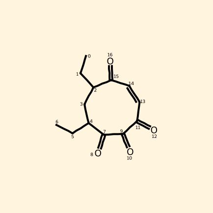 CCC1CC(CC)C(=O)C(=O)C(=O)C=CC1=O